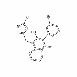 O=c1c(-c2cccc(Br)c2)c(O)n(Cc2cnc(Cl)s2)c2cccc[n+]12